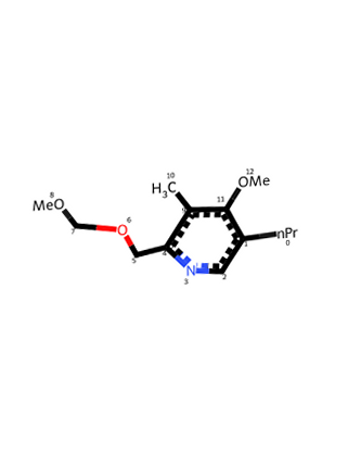 CCCc1cnc(COCOC)c(C)c1OC